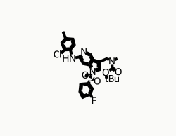 Cc1ccc(Nc2cc3c(cn2)c(CN(C)C(=O)OC(C)(C)C)cn3S(=O)(=O)c2cccc(F)c2)c(Cl)c1